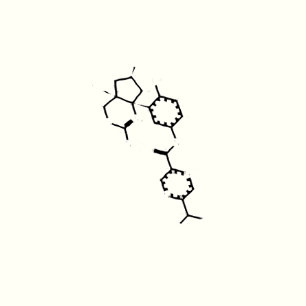 C[C@@H]1C[C@H]2CSC(N)=N[C@@]2(c2cc(NC(=O)c3cnc(C(F)F)cn3)ccc2F)C1